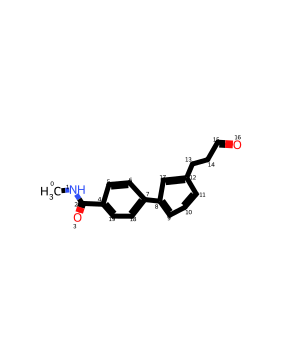 CNC(=O)c1ccc(-c2cccc(CCC=O)c2)cc1